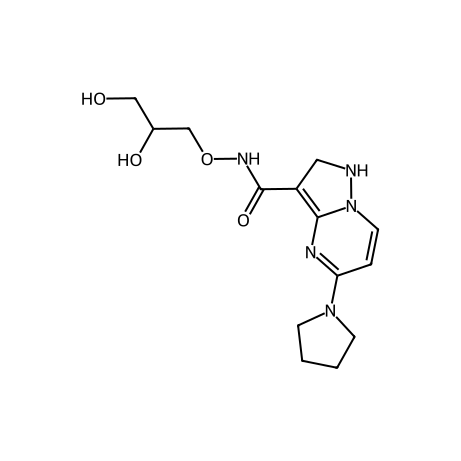 O=C(NOCC(O)CO)C1=C2N=C(N3CCCC3)C=CN2NC1